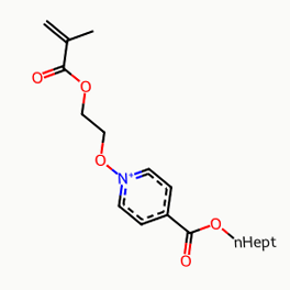 C=C(C)C(=O)OCCO[n+]1ccc(C(=O)OCCCCCCC)cc1